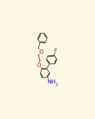 Nc1ccc(OCCOCc2ccccc2)c(-c2ccc(F)cc2)c1